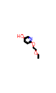 CCOCCOc1ccc(O)cn1